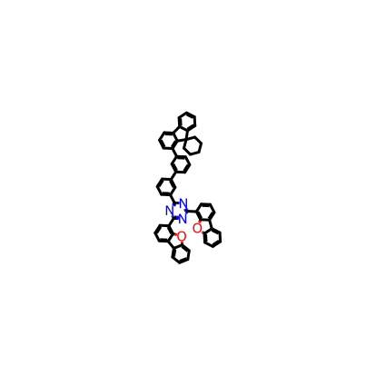 c1cc(-c2cccc(-c3cccc4c3C3(CCCCC3)c3ccccc3-4)c2)cc(-c2nc(-c3cccc4c3oc3ccccc34)nc(-c3cccc4c3oc3ccccc34)n2)c1